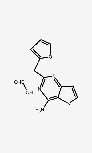 Nc1nc(Cc2ccco2)nc2ccsc12.O=CO